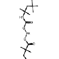 CCC(C)(C)C(=O)OPOC(=O)NC(C)(C)CC(C)(C)C